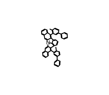 Cc1ccc(-c2ccccc2)cc1-c1c2ccccc2cc2c1c1cccc3c4c(-c5cc(-c6ccccc6)ccc5C)c5ccccc5cc4n2c13